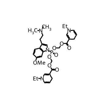 CCN1C=CCC(C(=O)OCOP(=O)(OCOC(=O)C2=CN(CC)C=CC2)n2cc(CCN(C)C)c3ccc(OC)cc32)=C1